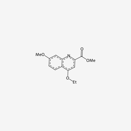 CCOc1cc(C(=O)OC)nc2cc(OC)ccc12